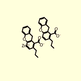 CCCc1ccc2c(c1C(=O)[O-])Cc1ccccc1O2.CCCc1ccc2c(c1C(=O)[O-])Cc1ccccc1O2.[Zn+2]